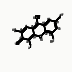 N#Cc1c2cc(I)c(=O)c(I)c-2oc2c(I)cc(I)cc12